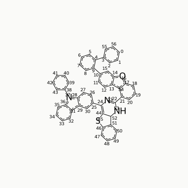 c1ccc(-c2ccccc2-c2ccc3c(c2)oc2cccc(C4=NC(c5ccc6c(c5)c5ccccc5n6-c5ccccc5)=C5Sc6ccccc6C5N4)c23)cc1